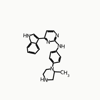 CC1CNCCN1c1ccc(Nc2nccc(-c3c[nH]c4ccccc34)n2)cc1